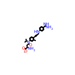 COC(=O)C(N)CC(=O)N(c1ccc(C#CCNc2ccc(C(=N)N)cc2)c(C)c1)C(C)C